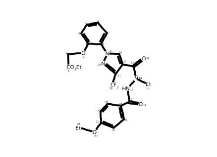 CCOC(=O)COc1ccccc1-n1cc(C(=O)N(CC)NC(=O)c2ccc(OCC)cc2)c(C(F)(F)F)n1